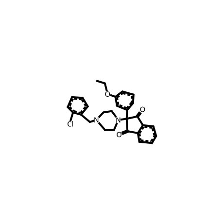 CCOc1cccc(C2(N3CCN(Cc4ccccc4Cl)CC3)C(=O)c3ccccc3C2=O)c1